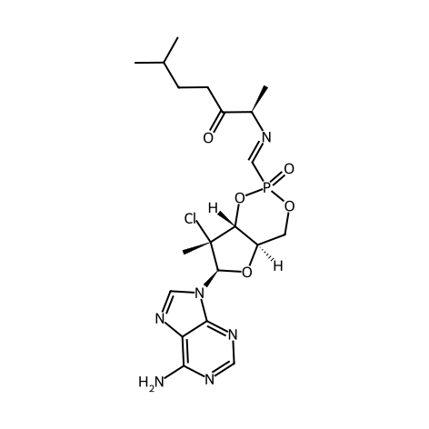 CC(C)CCC(=O)[C@@H](C)/N=C/P1(=O)OC[C@H]2O[C@@H](n3cnc4c(N)ncnc43)[C@](C)(Cl)[C@@H]2O1